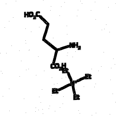 CC[N+](CC)(CC)CC.NC(CCC(=O)O)C(=O)O